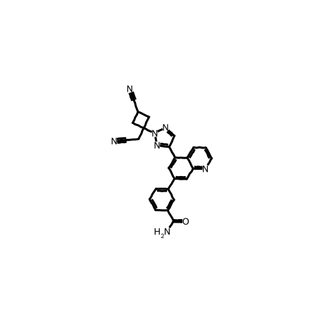 N#CCC1(n2ncc(-c3cc(-c4cccc(C(N)=O)c4)cc4ncccc34)n2)CC(C#N)C1